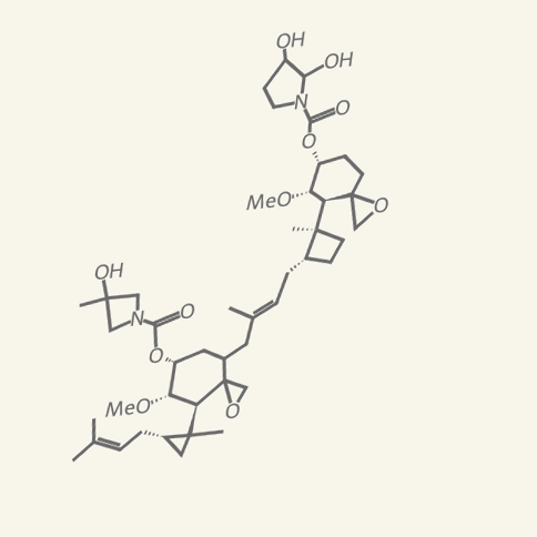 CO[C@@H]1[C@H](OC(=O)N2CC(C)(O)C2)CC(C/C(C)=C/C[C@H]2CC[C@]2(C)[C@H]2[C@H](OC)[C@H](OC(=O)N3CCC(O)C3O)CCC23CO3)C2(CO2)[C@H]1C1(C)C[C@@H]1CC=C(C)C